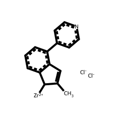 CC1=Cc2c(-c3ccncc3)cccc2[CH]1[Zr+2].[Cl-].[Cl-]